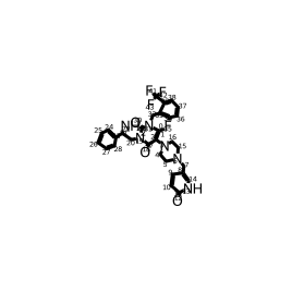 Cc1c(N2CCN(Cc3ccc(=O)[nH]c3)CC2)c(=O)n(CC(N)c2ccccc2)c(=O)n1Cc1c(F)cccc1C(F)(F)F